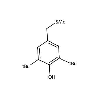 CSCc1cc(C(C)(C)C)c(O)c(C(C)(C)C)c1